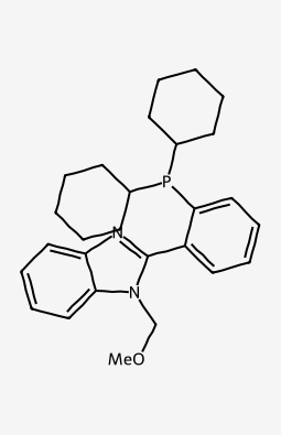 COCn1c(-c2ccccc2P(C2CCCCC2)C2CCCCC2)nc2ccccc21